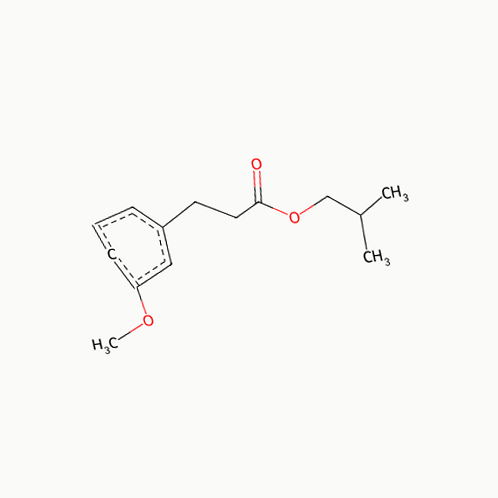 COc1cccc(CCC(=O)OCC(C)C)c1